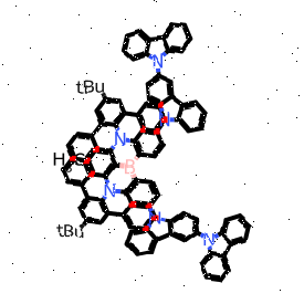 Cc1cc2c3c(c1)N(c1c(-c4ccccc4)cc(C(C)(C)C)cc1-c1ccccc1)c1cc(-n4c5ccccc5c5cc(-n6c7ccccc7c7ccccc76)ccc54)ccc1B3c1ccc(-n3c4ccccc4c4cc(-n5c6ccccc6c6ccccc65)ccc43)cc1N2c1c(-c2ccccc2)cc(C(C)(C)C)cc1-c1ccccc1